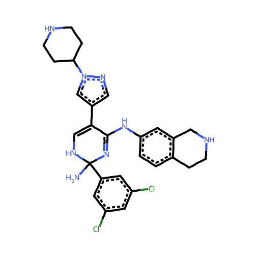 NC1(c2cc(Cl)cc(Cl)c2)N=C(Nc2ccc3c(c2)CNCC3)C(c2cnn(C3CCNCC3)c2)=CN1